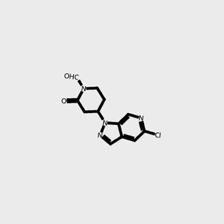 O=CN1CCC(n2ncc3cc(Cl)ncc32)CC1=O